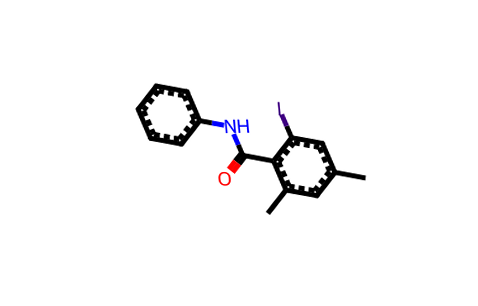 Cc1cc(C)c(C(=O)Nc2ccccc2)c(I)c1